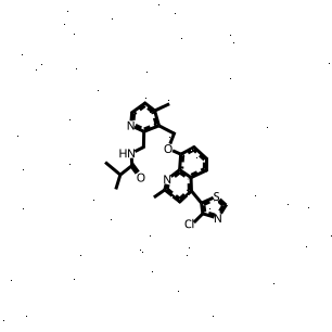 Cc1cc(-c2scnc2Cl)c2cccc(OCc3c(C)ccnc3CNC(=O)C(C)C)c2n1